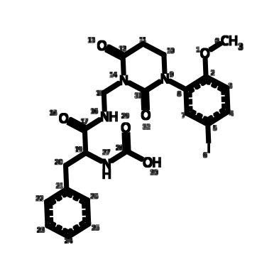 COc1ccc(I)cc1N1CCC(=O)N(CNC(=O)C(Cc2ccccc2)NC(=O)O)C1=O